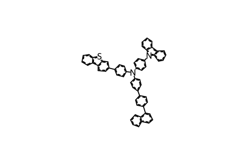 c1ccc2c(-c3ccc(-c4ccc(N(c5ccc(-c6ccc7c(c6)sc6ccccc67)cc5)c5ccc(-n6c7ccccc7c7ccccc76)cc5)cc4)cc3)cccc2c1